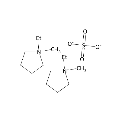 CC[N+]1(C)CCCC1.CC[N+]1(C)CCCC1.O=S(=O)([O-])[O-]